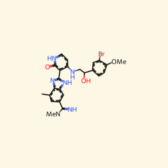 CNC(=N)c1cc(C)c2nc(-c3c(NCC(O)c4ccc(OC)c(Br)c4)cc[nH]c3=O)[nH]c2c1